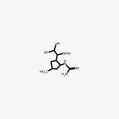 CCCC(CCC)C(NC(C)=O)C1CC(C(=O)O)CC1NC(=N)N